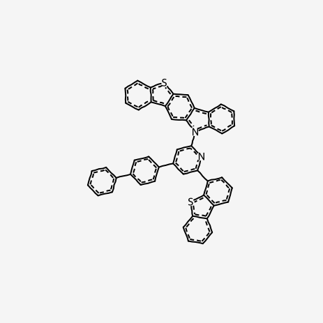 c1ccc(-c2ccc(-c3cc(-c4cccc5c4sc4ccccc45)nc(-n4c5ccccc5c5cc6sc7ccccc7c6cc54)c3)cc2)cc1